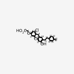 O=C(O)COc1cc(Cl)c(Cc2ccc(O)c(CCc3ccc(F)cc3)c2)c(Cl)c1